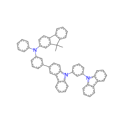 CC1(C)c2ccccc2-c2ccc(N(c3ccccc3)c3cccc(-c4ccc5c(c4)c4ccccc4n5-c4cccc(-n5c6ccccc6c6ccccc65)c4)c3)cc21